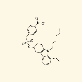 CCCCCCn1c2c(c3cccc(CC)c31)CC(OS(=O)(=O)Cc1ccc([N+](=O)[O-])cc1)CC2